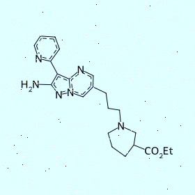 CCOC(=O)C1CCCN(CCCc2cnc3c(-c4ccccn4)c(N)nn3c2)C1